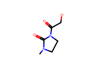 CN1CCN(C(=O)C[O])C1=O